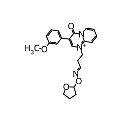 COc1cccc(-c2c[n+](CCC=NOC3CCCO3)c3ccccn3c2=O)c1